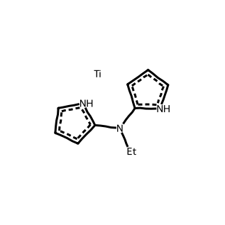 CCN(c1ccc[nH]1)c1ccc[nH]1.[Ti]